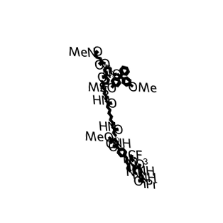 CNC(=O)CCC(=O)O[C@@H]1C[C@@H](COC(c2ccccc2)(c2ccc(OC)cc2)c2ccc(OC)cc2)N(C(=O)CCC(C)SSCCNC(=O)CCCCCCNC(=O)CC[C@H](NC(=O)c2ccc(N(Cc3cnc4nc(NC(=O)C(C)C)[nH]c(=O)c4n3)C(=O)C(F)(F)F)cc2)C(=O)OC)C1